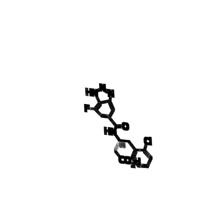 O=C(O)C[C@@H](Cc1ccccc1Cl)NC(=O)c1cc(F)c2[nH]nnc2c1